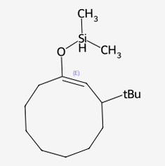 C[SiH](C)O/C1=C/C(C(C)(C)C)CCCCCCC1